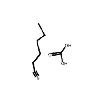 CCCCCC#N.O=C(O)O